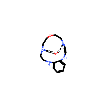 C1=C\N2CCOCCN(CCNc3ccccc3N/1)CCOCC2